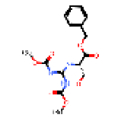 CC(C)(C)OC(=O)/N=C(/NC(=O)OC(C)(C)C)N[C@@H](CO)C(=O)OCc1ccccc1